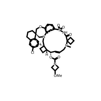 COC1CN(C(=O)O[C@H]2/C=C/CN(C)C3(CCC3)C(=O)NS(=O)(=O)c3ccc4c(c3)N(C[C@@H]3CC[C@H]32)C[C@@]2(CCCc3cc(Cl)ccc32)CO4)C1